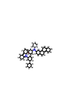 C1=CCC(N(c2cccc(-c3ccc(-c4ccccc4)cc3-n3c4ccccc4c4ccccc43)c2)c2ccc3ccc4c5ccccc5ccc4c3c2)C=C1